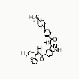 CCC(NC(=O)c1ccc2[nH]nc(NC(=O)c3ccc(N4CCN(C)CC4)cc3)c2c1)c1cccs1